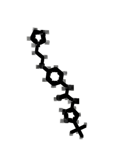 CC(C)(C)c1cc(NC(=O)Nc2ccc(OCCn3ccnc3)cc2)no1